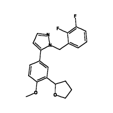 COc1ccc(-c2ccnn2Cc2cccc(F)c2F)cc1C1CCCO1